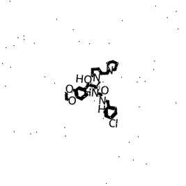 O=C(NCc1ccc(Cl)cc1)N[C@H](CN1CCCC1CN1CCCC1)[C@H](O)c1ccc2c(c1)OCCO2